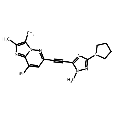 Cc1nc2c(C(C)C)cc(C#Cc3nc(N4CCCC4)nn3C)nn2c1C